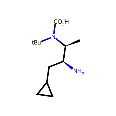 C[C@@H]([C@@H](N)CC1CC1)N(C(=O)O)C(C)(C)C